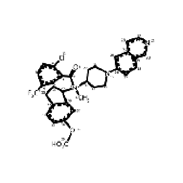 C[N+](C(=O)c1cc(C(F)(F)F)ccc1Cl)(C1CCN(c2ccc3cnccc3c2)CC1)C1CCc2ccc(OC(=O)O)cc21